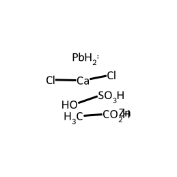 CC(=O)O.O=S(=O)(O)O.[Cl][Ca][Cl].[PbH2].[Zn]